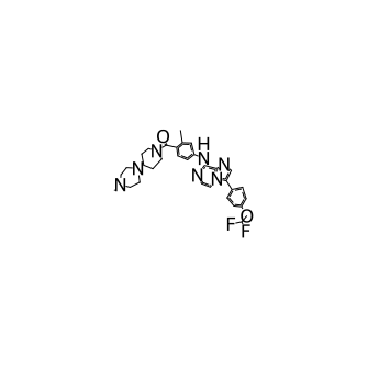 Cc1cc(Nc2nccn3c(-c4ccc(OC(F)F)cc4)cnc23)ccc1C(=O)N1CCC(N2CCN(C)CC2)CC1